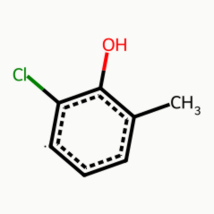 Cc1cc[c]c(Cl)c1O